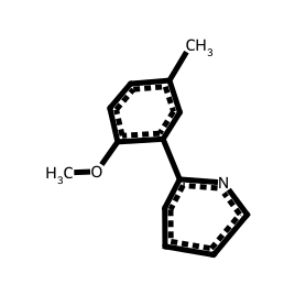 COc1ccc(C)cc1-c1ccccn1